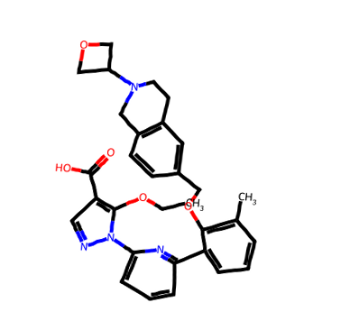 CCOc1c(C(=O)O)cnn1-c1cccc(-c2cccc(C)c2OCc2ccc3c(c2)CCN(C2COC2)C3)n1